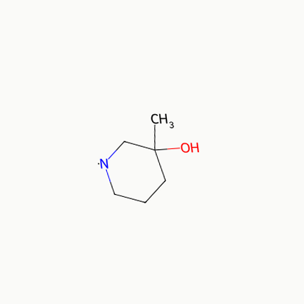 CC1(O)CCC[N]C1